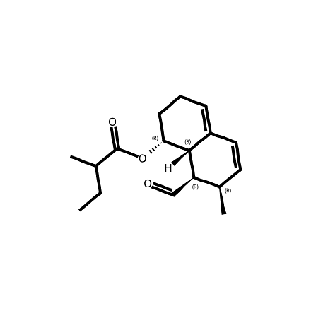 CCC(C)C(=O)O[C@@H]1CCC=C2C=C[C@@H](C)[C@@H](C=O)[C@@H]21